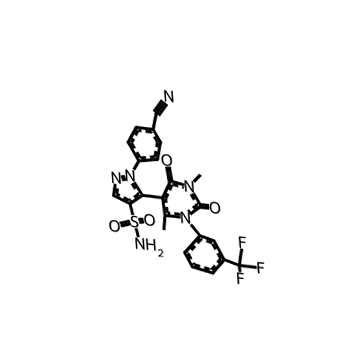 Cc1c(-c2c(S(N)(=O)=O)cnn2-c2ccc(C#N)cc2)c(=O)n(C)c(=O)n1-c1cccc(C(F)(F)F)c1